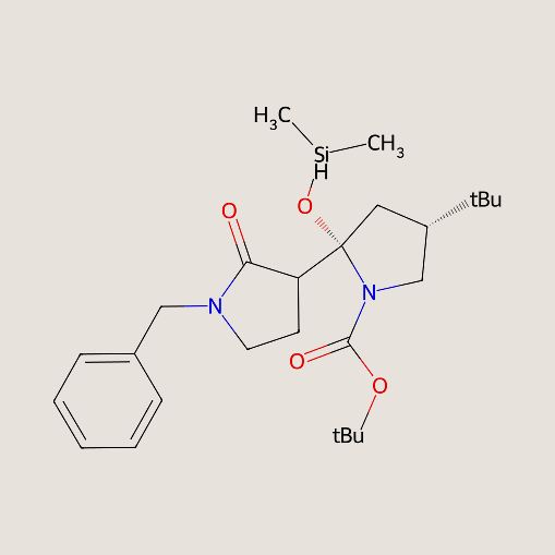 C[SiH](C)O[C@]1(C2CCN(Cc3ccccc3)C2=O)C[C@H](C(C)(C)C)CN1C(=O)OC(C)(C)C